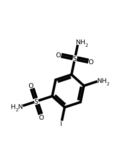 Nc1cc(I)c(S(N)(=O)=O)cc1S(N)(=O)=O